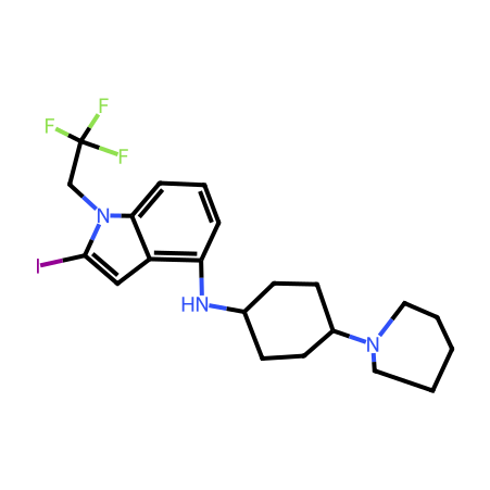 FC(F)(F)Cn1c(I)cc2c(NC3CCC(N4CCCCC4)CC3)cccc21